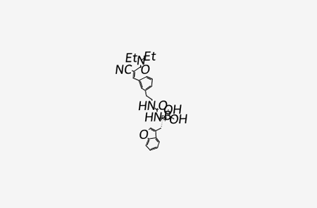 CCN(CC)C(=O)C(C#N)=Cc1cccc(CCNC(=O)N[C@@H](Cc2coc3ccccc23)B(O)O)c1